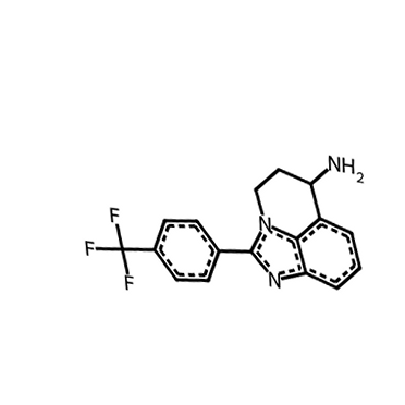 NC1CCn2c(-c3ccc(C(F)(F)F)cc3)nc3cccc1c32